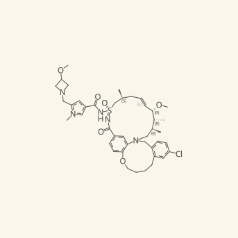 COC1CN(Cc2cc(C(=O)NS3(=O)=NC(=O)c4ccc5c(c4)N(Cc4ccc(Cl)cc4CCCCO5)C[C@H](C)[C@@H](C)[C@@H](OC)/C=C/C[C@H](C)C3)cn2C)C1